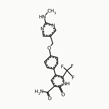 CNc1ncc(COc2ccc(-c3cc(C(N)=O)c(=O)[nH]c3C(F)(F)F)cc2)cn1